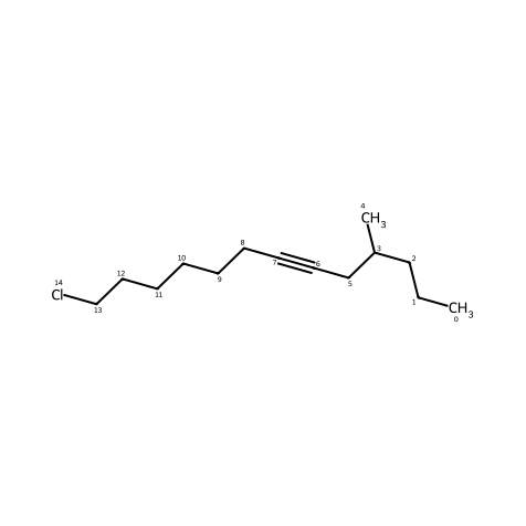 CCCC(C)CC#CCCCCCCCl